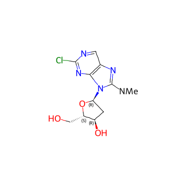 CNc1nc2cnc(Cl)nc2n1[C@H]1C[C@@H](O)[C@H](CO)O1